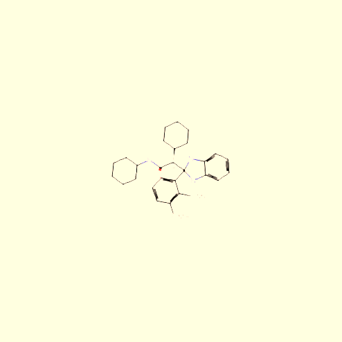 COc1cccc(C2([C@@H](C(=O)NC3CCCCC3)C3CCCCC3)Nc3ccccc3N2)c1OC